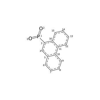 O=P(=O)c1cc2ccccc2c2ccccc12